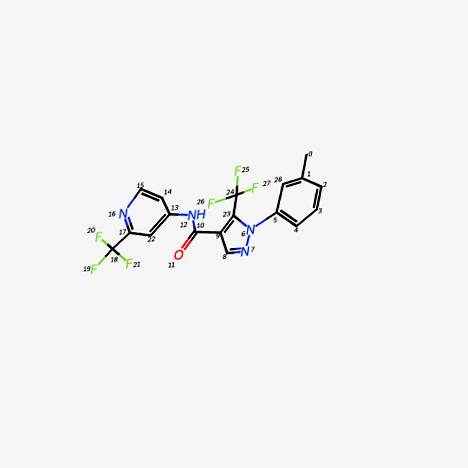 Cc1cccc(-n2ncc(C(=O)Nc3ccnc(C(F)(F)F)c3)c2C(F)(F)F)c1